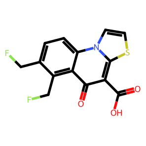 O=C(O)c1c(=O)c2c(CF)c(CF)ccc2n2ccsc12